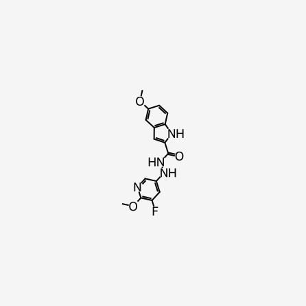 COc1ccc2[nH]c(C(=O)NNc3cnc(OC)c(F)c3)cc2c1